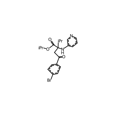 CC(C)OC(=O)C(CC(=O)c1ccc(Br)cc1)(Nc1cccnc1)C(C)C